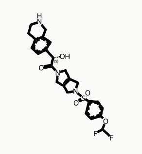 O=C([C@@H](O)c1ccc2c(c1)CNCC2)N1CC2=C(C1)CN(S(=O)(=O)c1ccc(OC(F)F)cc1)C2